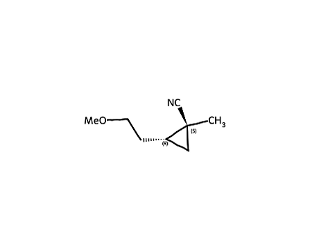 COCC[C@H]1C[C@]1(C)C#N